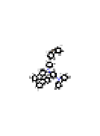 c1ccc2c(c1)-c1ccccc1C21c2ccccc2-c2ccc(N(c3ccc(-c4ccc5sc6ccccc6c5c4)cc3)c3ccc(-n4c5ccccc5c5ccccc54)cc3)cc21